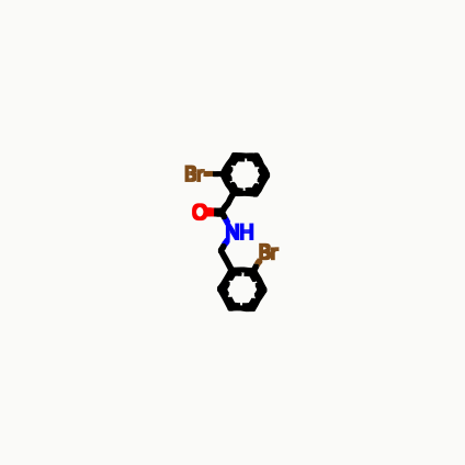 O=C(NCc1ccccc1Br)c1ccccc1Br